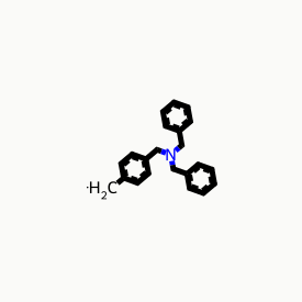 [CH2]c1ccc(CN(Cc2ccccc2)Cc2ccccc2)cc1